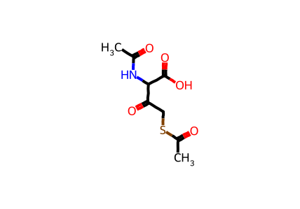 CC(=O)NC(C(=O)O)C(=O)CSC(C)=O